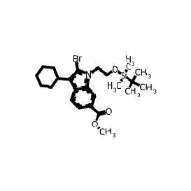 COC(=O)c1ccc2c(C3CCCCC3)c(Br)n(CCO[Si](C)(C)C(C)(C)C)c2c1